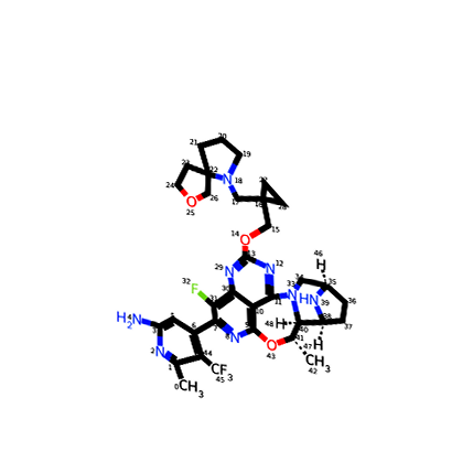 Cc1nc(N)cc(-c2nc3c4c(nc(OCC5(CN6CCCC67CCOC7)CC5)nc4c2F)N2C[C@H]4CC[C@H](N4)[C@H]2[C@H](C)O3)c1C(F)(F)F